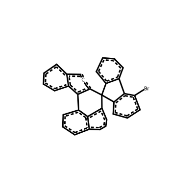 Brc1cccc2c1-c1ccccc1C21c2ccc3ccccc3c2-c2cccc3cccc1c23